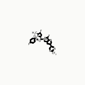 C[C@H]1[C@H](F)C[C@@H](C(=O)NCc2cc(-c3cnc(C(F)(F)F)nc3)cnc2C(F)F)N1S(=O)(=O)c1ccc(F)cc1